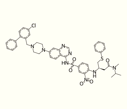 CC(C)N(C)C(=O)C[C@H](CSc1ccccc1)Nc1ccc(S(=O)(=O)Nc2ncnc3cc(N4CCN(Cc5cc(Cl)ccc5-c5ccccc5)CC4)ccc23)cc1[N+](=O)[O-]